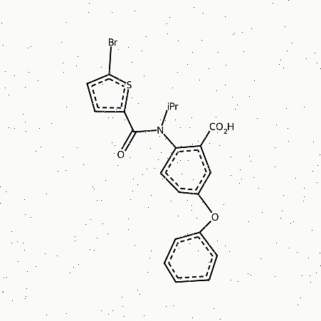 CC(C)N(C(=O)c1ccc(Br)s1)c1ccc(Oc2ccccc2)cc1C(=O)O